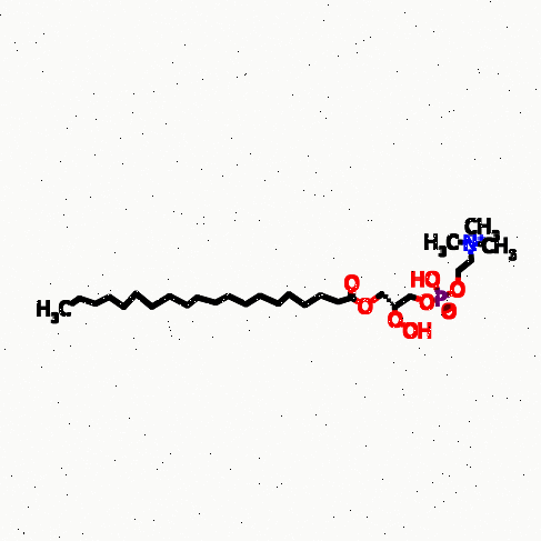 CCCCCCCCCCCCCCCCCCCC(=O)OC[C@H](COP(=O)(O)OCC[N+](C)(C)C)OO